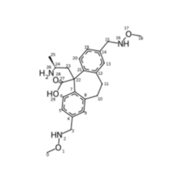 CONCc1ccc2c(c1)CCc1cc(CNOC)ccc1C2(C[C@H](C)N)C(=O)O